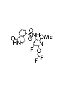 COc1nc(OCC(F)F)c(F)cc1NS(=O)(=O)c1cccc2c(=O)[nH]ccc12